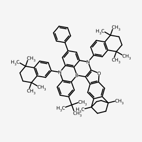 CC(C)(C)c1ccc2c(c1)B1c3c(cc(-c4ccccc4)cc3N(c3ccc4c(c3)C(C)(C)CCC4(C)C)c3oc4cc5c(cc4c31)C1(C)CCC5(C)CC1)N2c1ccc2c(c1)C(C)(C)CCC2(C)C